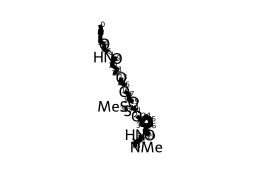 CC#CCOCCNC(=O)CCCOCCOCCOC(COc1cccc(C(=O)NCCNC)c1)SSC